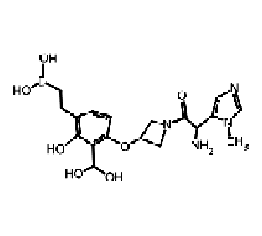 Cn1cncc1C(N)C(=O)N1CC(Oc2ccc(CCB(O)O)c(O)c2C(O)O)C1